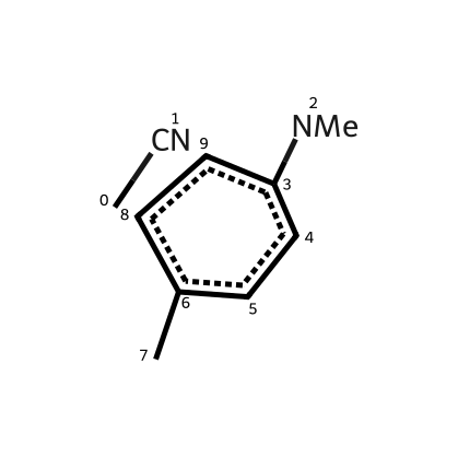 CC#N.CNc1ccc(C)cc1